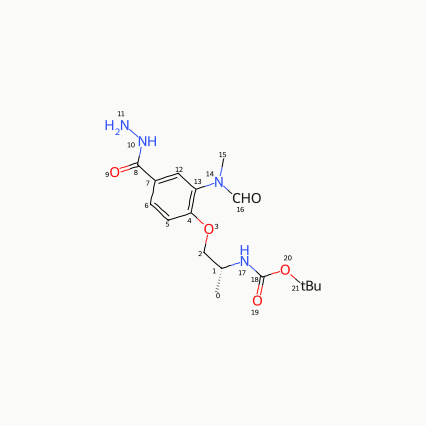 C[C@H](COc1ccc(C(=O)NN)cc1N(C)C=O)NC(=O)OC(C)(C)C